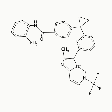 CC1=C(c2ccnc(C3(c4ccc(C(=O)Nc5ccccc5N)cc4)CC3)n2)[N+]2CN(C(F)(F)F)C=CC2=N1